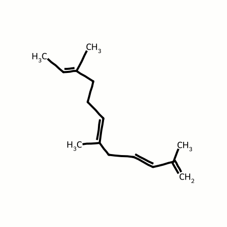 C=C(C)C=CCC(C)=CCCC(C)=CC